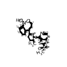 CC1CCC(C2=CCON(O)c3ccccc32)=NN1c1ncnc2nc(S(C)(=O)=O)sc12